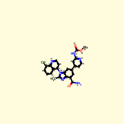 Cc1nc2c(C(N)=O)cc(-c3ccnc(NC(=O)OC(C)(C)C)c3)cc2n1-c1ccnc2c(Cl)cccc12